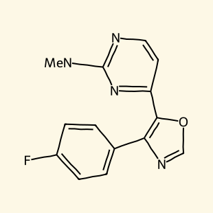 CNc1nccc(-c2ocnc2-c2ccc(F)cc2)n1